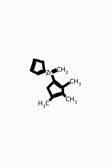 [CH2]=[Zr]([C]1=CC=CC1)[C]1=C(C)C(C)=C(C)C1